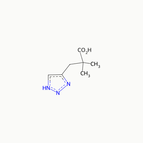 CC(C)(Cc1c[nH]nn1)C(=O)O